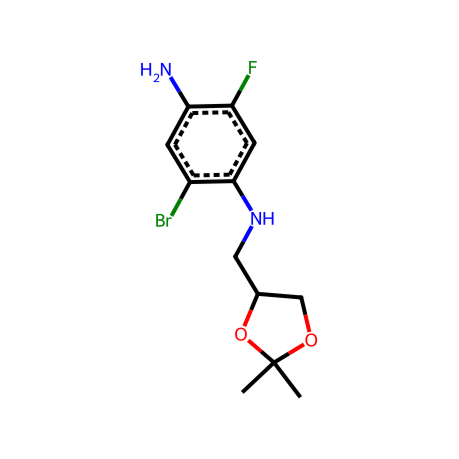 CC1(C)OCC(CNc2cc(F)c(N)cc2Br)O1